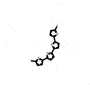 Ic1ccc(-c2ccc(-c3ccc(-c4ccc(I)s4)s3)s2)s1